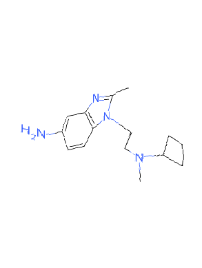 Cc1nc2cc(N)ccc2n1CCN(C)C1CCC1